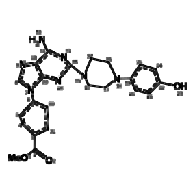 COC(=O)c1ccc(-n2cnc3c(N)nc(N4CCN(c5ccc(O)cc5)CC4)nc32)cc1